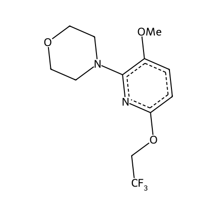 COc1ccc(OCC(F)(F)F)nc1N1CCOCC1